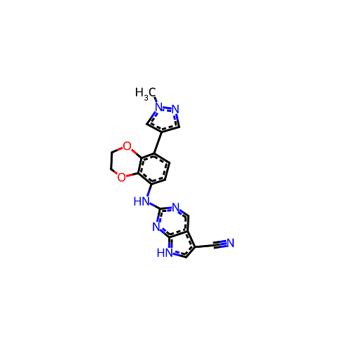 Cn1cc(-c2ccc(Nc3ncc4c(C#N)c[nH]c4n3)c3c2OCCO3)cn1